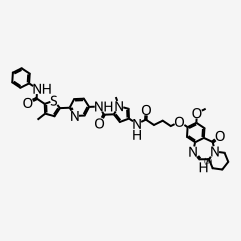 COc1cc2c(cc1OCCCC(=O)Nc1cc(C(=O)Nc3ccc(-c4cc(C)c(C(=O)Nc5ccccc5)s4)nc3)n(C)c1)N=C[C@@H]1CCCCN1C2=O